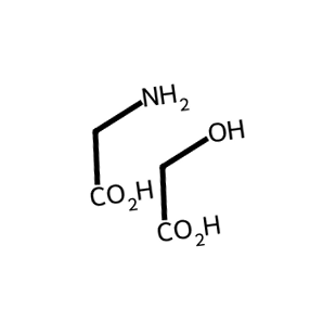 NCC(=O)O.O=C(O)CO